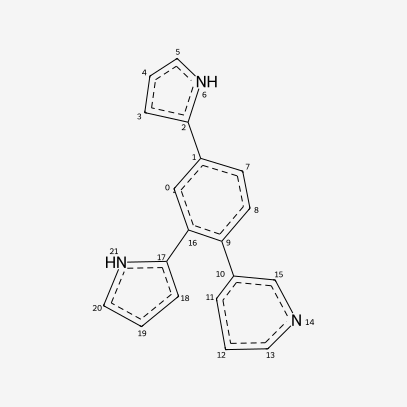 [c]1c(-c2ccc[nH]2)ccc(-c2cccnc2)c1-c1ccc[nH]1